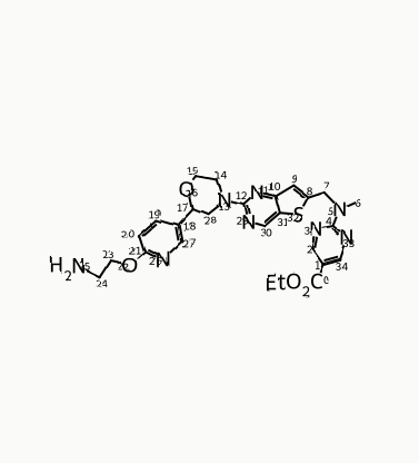 CCOC(=O)c1cnc(N(C)Cc2cc3nc(N4CCOC(c5ccc(OCCN)nc5)C4)ncc3s2)nc1